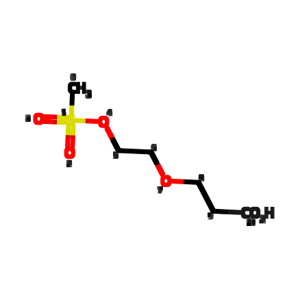 CS(=O)(=O)OCCOCCC(=O)O